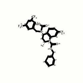 COC(=O)N(Cc1cc(C(F)(F)F)cc(C(F)(F)F)c1)[C@H]1C[C@@H](C)N(C(=O)OCc2ccccc2)c2cc(C(F)(F)F)ccc21